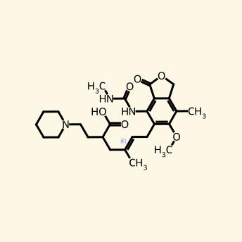 CNC(=O)Nc1c(C/C=C(\C)CC(CCN2CCCCC2)C(=O)O)c(OC)c(C)c2c1C(=O)OC2